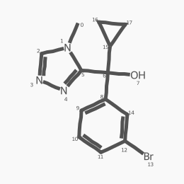 Cn1cnnc1C(O)(c1cccc(Br)c1)C1CC1